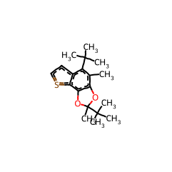 Cc1c2c(c3sccc3c1C(C)(C)C)OC(C)(C(C)(C)C)O2